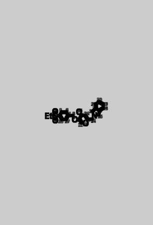 CCS(=O)(=O)c1ccc(COc2coc(CN3Cc4ccccc4C3)cc2=O)cc1